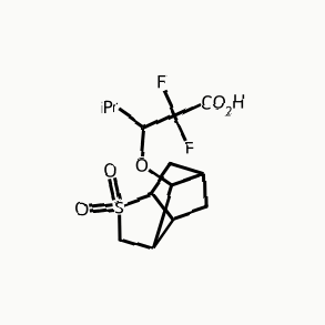 CC(C)C(OC1C2CC3C1CS(=O)(=O)C3C2)C(F)(F)C(=O)O